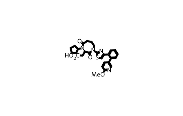 COc1ccc(-c2ccccc2-c2csc(N3CCCC(=O)N(C4CCCC4)C(CC(=O)O)C3=O)n2)cn1